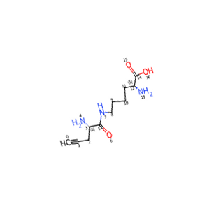 C#CC[C@H](N)C(=O)NCCCC[C@H](N)C(=O)O